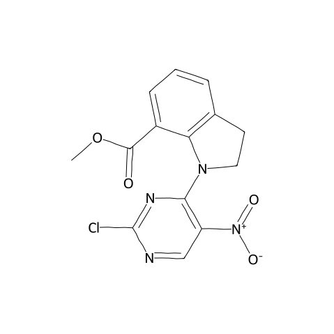 COC(=O)c1cccc2c1N(c1nc(Cl)ncc1[N+](=O)[O-])CC2